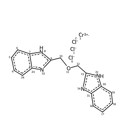 [Cl-].[Cl-].[Cl-].[Cr+3].c1ccc2[nH]c(COCc3nc4ccccc4[nH]3)nc2c1